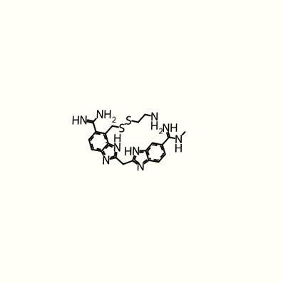 CNC(=N)c1ccc2nc(Cc3nc4ccc(C(=N)N)c(CSSCCN)c4[nH]3)[nH]c2c1